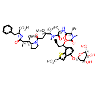 C#CCC(OC(=O)N(C)[C@H](C(=O)N[C@H](C(=O)N(C)[C@@H](C(C)CC)[C@@H](CC(=O)N1CCC[C@H]1[C@H](OC)[C@@H](C)C(=O)NC(Cc1ccccc1)C(=O)O)OC)C(C)C)C(C)C)c1ccc(O[C@H]2C[C@@H](O)[C@@H](O)[C@@H](CO)O2)c2cc(C(=O)O)sc12